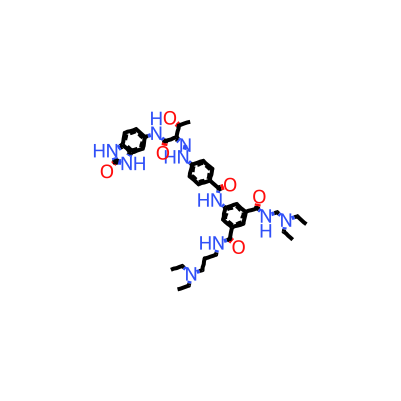 CCN(CC)CCCNC(=O)c1cc(NC(=O)c2ccc(N/N=C(/C(C)=O)C(=O)Nc3ccc4[nH]c(=O)[nH]c4c3)cc2)cc(C(=O)NCN(CC)CC)c1